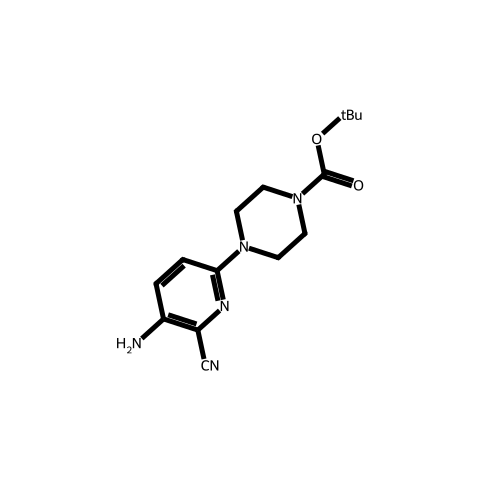 CC(C)(C)OC(=O)N1CCN(c2ccc(N)c(C#N)n2)CC1